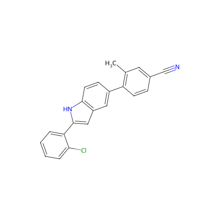 Cc1cc(C#N)ccc1-c1ccc2[nH]c(-c3ccccc3Cl)cc2c1